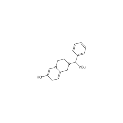 CCCCC(c1ccccc1)N1CCN2C=C(O)CC=C2C1